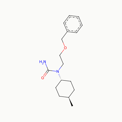 C[C@H]1CC[C@H](N(CCOCc2ccccc2)C(N)=O)CC1